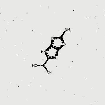 Nc1nc2[nH]c(B(O)O)nc2s1